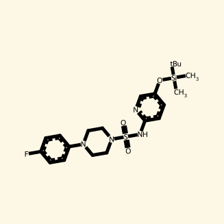 CC(C)(C)[Si](C)(C)Oc1ccc(NS(=O)(=O)N2CCN(c3ccc(F)cc3)CC2)nc1